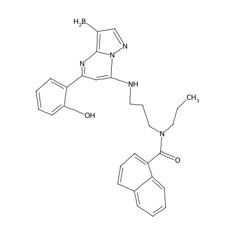 Bc1cnn2c(NCCCN(CCC)C(=O)c3cccc4ccccc34)cc(-c3ccccc3O)nc12